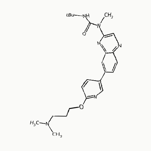 CN(C)CCCOc1ccc(-c2ccc3ncc(N(C)C(=O)NC(C)(C)C)nc3c2)cn1